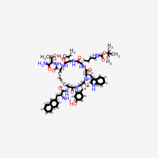 CC(C)[C@@H]1NC(=O)[C@H](CCCCNC(=O)OC(C)(C)C)NC(=O)[C@@H](Cc2c[nH]c3ccccc23)NC(=O)[C@H](Cc2ccc(O)cc2)NC(=O)[C@@H](NC(=O)[C@H](N)Cc2ccc3ccccc3c2)CSSC[C@H](C(=O)N[C@H](C(N)=O)[C@@H](C)O)NC1=O